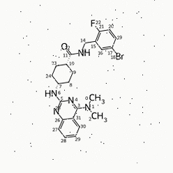 CN(C)c1nc(N[C@H]2CC[C@@H](C(=O)NCc3cc(Br)ccc3F)CC2)nc2ccccc12